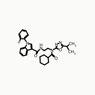 CC(C)c1nnc(N(CCNC(=O)c2cn(-c3ccccc3F)c3ccccc23)C(=O)C2CCCCC2)o1